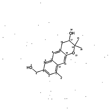 Cc1cc(CO)nc2cc3c(cc12)OC(C)(C)C(O)C3